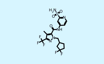 Cc1c(C(F)(F)F)nn(CC2CCC(F)(F)C2)c1C(=O)Nc1ccnc(S(N)(=O)=O)c1